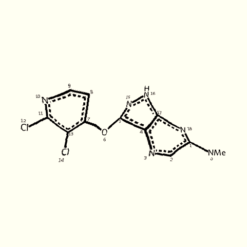 CNc1cnc2c(Oc3ccnc(Cl)c3Cl)n[nH]c2n1